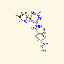 Cc1nc(NC(=O)c2ccc(NCC(C)C)nc2C)nc(-c2ccccn2)n1